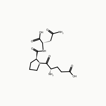 NC(=O)C[C@H](NC(=O)[C@@H]1CCCN1C(=O)[C@@H](N)CCC(=O)O)C(=O)O